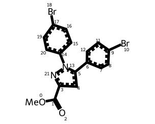 COC(=O)c1cc(-c2ccc(Br)cc2)n(-c2ccc(Br)cc2)n1